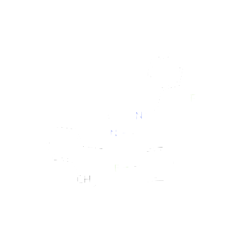 Cc1ccccc1CN1CCN(Cc2ccccc2F)C1c1ccccc1F